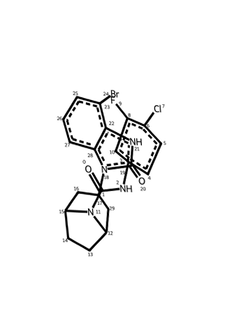 O=C(Nc1ccc(Cl)c(F)c1)N1C2CCC1CC(n1c(=O)[nH]c3c(Br)cccc31)C2